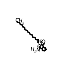 CCCCCCCCCCCCCCCCCCOCC(CO)c1ccccc1C(N)=O